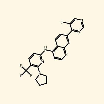 FC(F)(F)c1ccc(Nc2ccnc3nc(-c4ncncc4Cl)ccc23)nc1N1CCCC1